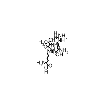 CC(C)C(N)C(=O)O.N=C(N)NCCCC(N)C(=O)O.NCCCCC(N)C(=O)O